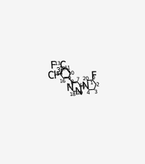 FC1CCCN(c2cc(-c3ccc(C(F)(F)F)c(Cl)c3)ncn2)C1